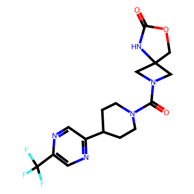 O=C1NC2(CO1)CN(C(=O)N1CCC(c3cnc(C(F)(F)F)cn3)CC1)C2